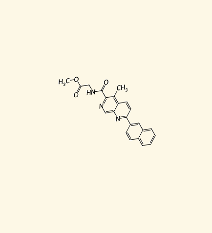 COC(=O)CNC(=O)c1ncc2nc(-c3ccc4ccccc4c3)ccc2c1C